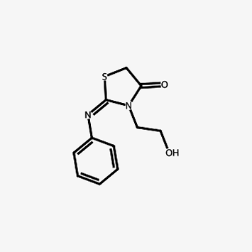 O=C1CSC(=Nc2ccccc2)N1CCO